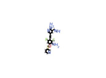 N=Cc1cc(C#Cc2c(F)cc(OSc3cccnc3)c(N)c2F)cnc1N